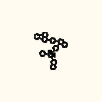 c1ccc(-c2cc(-c3ccc4ccccc4c3)nc(-c3ccc(-c4c(-c5ccc(-c6ccc7c8c(cccc68)-c6ccccc6-7)cc5)ccc5ccccc45)cc3)n2)cc1